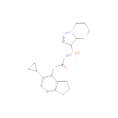 N[S@](=O)(=NC(=O)Nc1c(C2CC2)ccc2c1CCC2)c1cnn2c1OCCC2